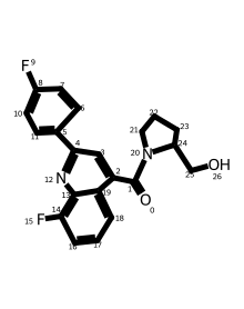 O=C(c1cc(-c2ccc(F)cc2)nc2c(F)cccc12)N1CCCC1CO